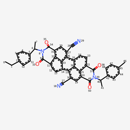 CCc1ccc(C(C)N2C(=O)c3ccc4c5c(C#N)cc6c7c(ccc(c8c(C#N)cc(c3c48)C2=O)c75)C(=O)N(C(C)c2ccc(C)cc2)C6=O)cc1